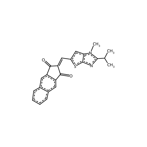 CC(C)c1nc2sc(C=C3C(=O)c4cc5ccccc5cc4C3=O)cc2n1C